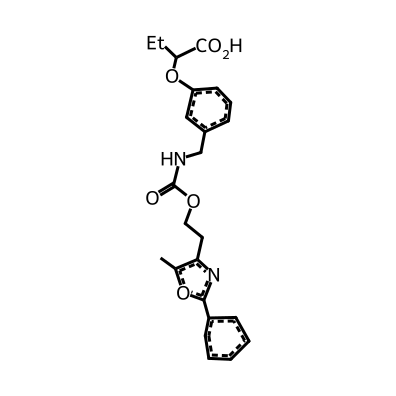 CCC(Oc1cccc(CNC(=O)OCCc2nc(-c3ccccc3)oc2C)c1)C(=O)O